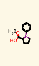 B.O=C(O)C1CCCP1c1ccccc1